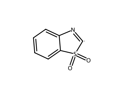 O=S1(=O)[C]=Nc2ccccc21